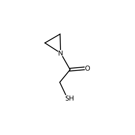 O=C(CS)N1CC1